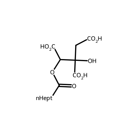 CCCCCCCC(=O)OC(C(=O)O)C(O)(CC(=O)O)C(=O)O